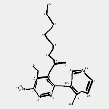 CCCCCCC(C)c1c(-c2cnccc2C)nnc(N)c1C